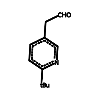 CC(C)(C)c1ccc(CC=O)cn1